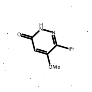 COc1cc(=O)[nH]nc1C(C)C